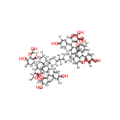 C=COOOc1c(C)cc(C2(c3cc(C)c(OCC(=O)O)c(C(c4cc(C)c(O)cc4C)c4cc(C)c(O)cc4C)c3)CCC(C(C)(C)C3CCC(c4cc(C)c(OCC(=O)O)c(C(c5cc(C)c(O)cc5C)c5cc(C)c(O)cc5C)c4)(c4cc(C)c(OOOC=C)c(C(c5cc(C)c(O)cc5C)c5cc(C)c(O)cc5C)c4)CC3)CC2)cc1C(c1cc(C)c(O)cc1C)c1cc(C)c(O)cc1C